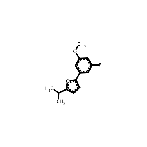 COc1cc(F)cc(-c2ccc(C(C)C)o2)c1